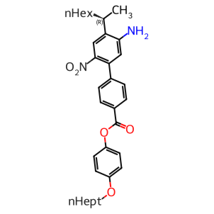 CCCCCCCOc1ccc(OC(=O)c2ccc(-c3cc(N)c([C@H](C)CCCCCC)cc3[N+](=O)[O-])cc2)cc1